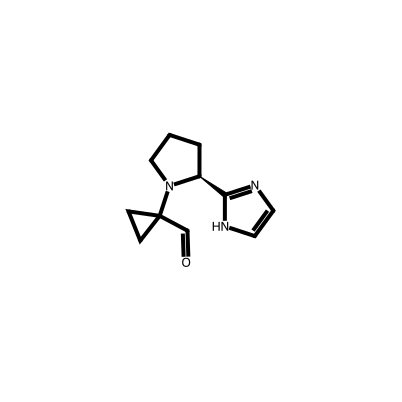 O=CC1(N2CCC[C@H]2c2ncc[nH]2)CC1